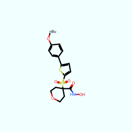 CCCCOc1ccc(-c2ccc(S(=O)(=O)C3(C(=O)NO)CCOCC3)s2)cc1